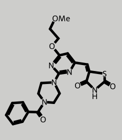 COCCOc1cc(C=C2SC(=O)NC2=O)nc(N2CCN(C(=O)c3ccccc3)CC2)n1